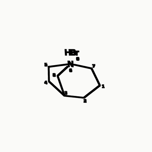 Br.C1CC2CCN(C1)C2